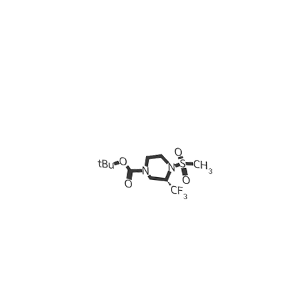 CC(C)(C)OC(=O)N1CCN(S(C)(=O)=O)[C@H](C(F)(F)F)C1